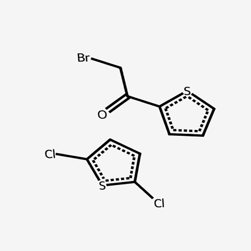 Clc1ccc(Cl)s1.O=C(CBr)c1cccs1